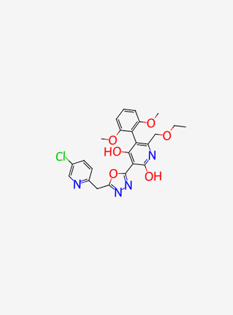 CCOCc1nc(O)c(-c2nnc(Cc3ccc(Cl)cn3)o2)c(O)c1-c1c(OC)cccc1OC